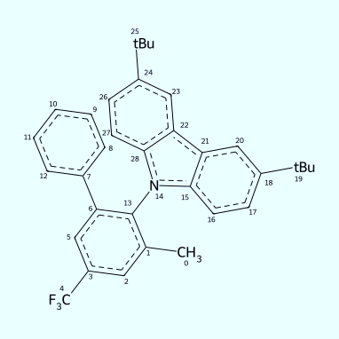 Cc1cc(C(F)(F)F)cc(-c2ccccc2)c1-n1c2ccc(C(C)(C)C)cc2c2cc(C(C)(C)C)ccc21